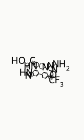 Nc1nc(O[C@H](c2ccc(-c3ccc4[nH]ncc4c3)cc2)C(F)(F)F)cc(N2CCC3(CC2)CN[C@H](C(=O)O)C3)n1